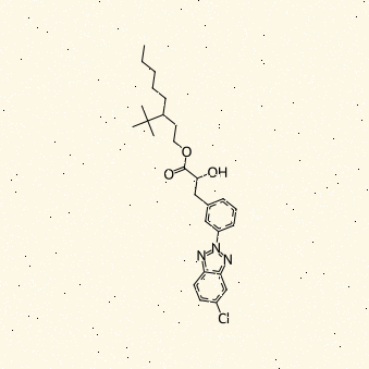 CCCCCC(CCOC(=O)C(O)Cc1cccc(-n2nc3ccc(Cl)cc3n2)c1)C(C)(C)C